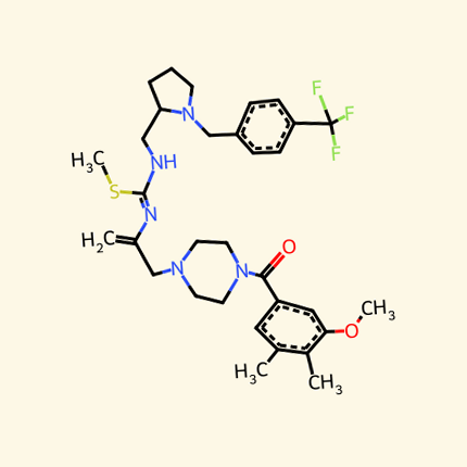 C=C(CN1CCN(C(=O)c2cc(C)c(C)c(OC)c2)CC1)/N=C(/NCC1CCCN1Cc1ccc(C(F)(F)F)cc1)SC